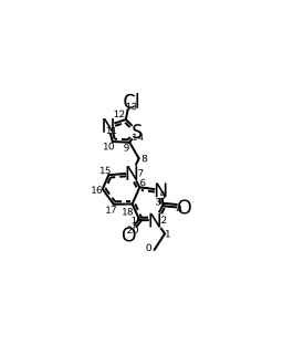 CCn1c(=O)nc2n(Cc3cnc(Cl)s3)cccc-2c1=O